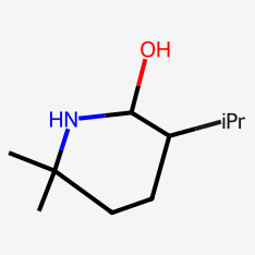 CC(C)C1CCC(C)(C)NC1O